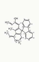 C=C/C(O)=C\C(=C/C)C1(/C(C=C)=C/C(O)=C\C)c2ccccc2-c2ccccc21